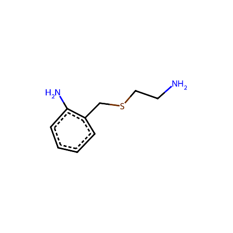 NCCSCc1ccccc1N